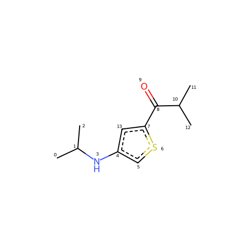 CC(C)Nc1csc(C(=O)C(C)C)c1